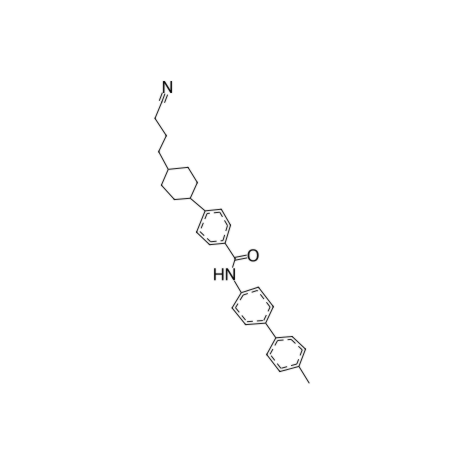 Cc1ccc(-c2ccc(NC(=O)c3ccc(C4CCC(CCCC#N)CC4)cc3)cc2)cc1